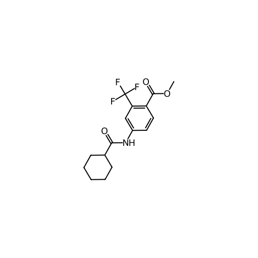 COC(=O)c1ccc(NC(=O)C2CCCCC2)cc1C(F)(F)F